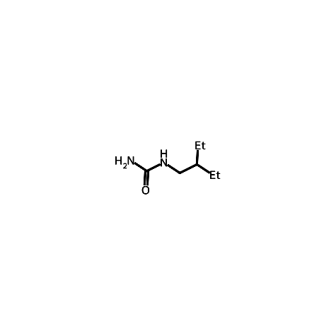 CCC(CC)CNC(N)=O